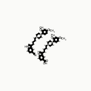 COc1ccc(N2CCN(CCCCc3c[nH]c4ccc(C#N)cc34)CC2)c(OC)c1.COc1ccc(N2CCN(CCCCc3c[nH]c4ccc(C(=O)O)cc34)CC2)c(OC)c1